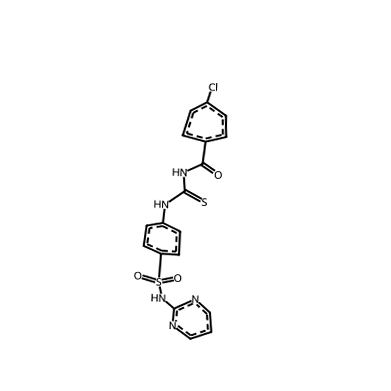 O=C(NC(=S)Nc1ccc(S(=O)(=O)Nc2ncccn2)cc1)c1ccc(Cl)cc1